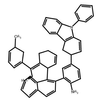 C=C/C(C1=CC=CC(C)C1)=C1/CCC=CC1c1c(-c2cc(C3C=Cc4c(c5ccccc5n4-c4ccccc4)C3)ccc2N)ccc2ccccc12